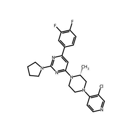 C[C@@H]1CN(c2ccncc2Cl)CCN1c1cc(-c2ccc(F)c(F)c2)nc(N2CCCC2)n1